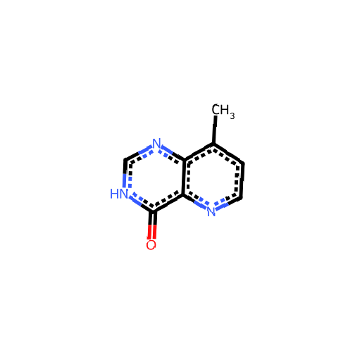 Cc1ccnc2c(=O)[nH]cnc12